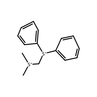 C[S+](C)C[S+](c1ccccc1)c1ccccc1